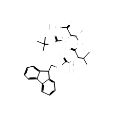 CC(C)[C@H](NC(=O)OCC1c2ccccc2-c2ccccc21)C(=O)O[C@H](C)[C@H](NC(=O)OC(C)(C)C)C(=O)O